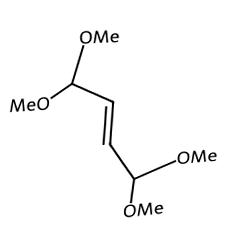 COC(C=CC(OC)OC)OC